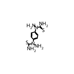 NC(=S)N(N)c1ccc(N(N)C(N)=S)cc1